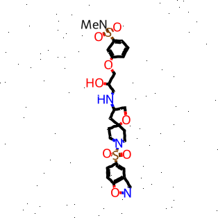 CNS(=O)(=O)c1cccc(OCC(O)CNC2COC3(CCN(S(=O)(=O)c4ccc5oncc5c4)CC3)C2)c1